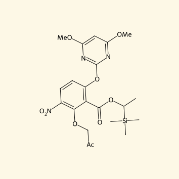 COc1cc(OC)nc(Oc2ccc([N+](=O)[O-])c(OCC(C)=O)c2C(=O)OC(C)[Si](C)(C)C)n1